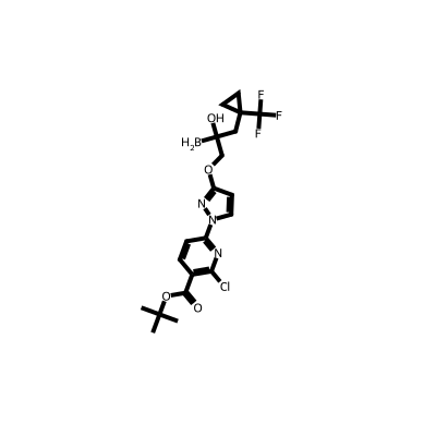 BC(O)(COc1ccn(-c2ccc(C(=O)OC(C)(C)C)c(Cl)n2)n1)CC1(C(F)(F)F)CC1